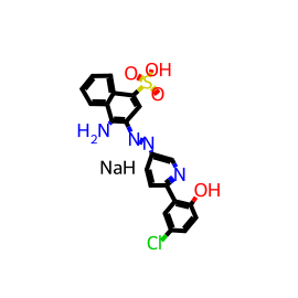 Nc1c(/N=N/c2ccc(-c3cc(Cl)ccc3O)nc2)cc(S(=O)(=O)O)c2ccccc12.[NaH]